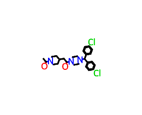 CC(=O)N1CCC(CC(=O)N2CCN(C(c3ccc(Cl)cc3)c3ccc(Cl)cc3)CC2)CC1